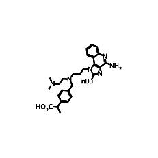 CCCCc1nc2c(N)nc3ccccc3c2n1CCCN(CCN(C)C)Cc1ccc(C(C)C(=O)O)cc1